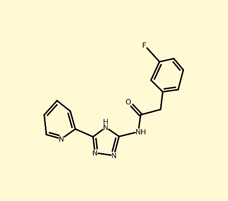 O=C(Cc1cccc(F)c1)Nc1nnc(-c2ccccn2)[nH]1